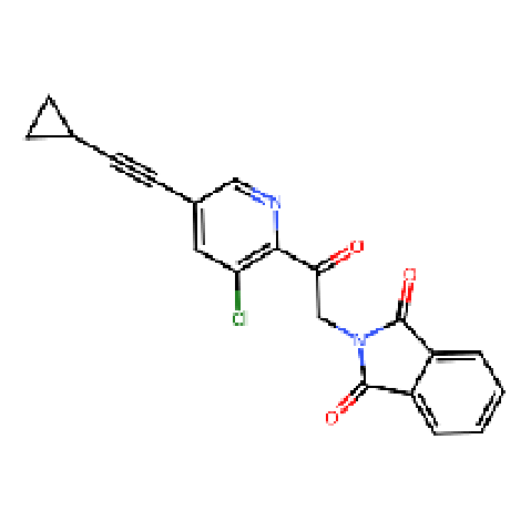 O=C(CN1C(=O)c2ccccc2C1=O)c1ncc(C#CC2CC2)cc1Cl